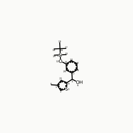 Cc1csc(C(O)c2cccc(O[Si](C)(C)C(C)(C)C)c2)c1